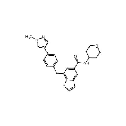 Cn1cc(-c2ccc(Cc3cc(C(=O)NC4CCOCC4)nc4ccoc34)cc2)cn1